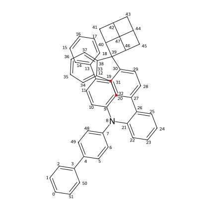 c1ccc(-c2ccc(N(c3ccc(-c4ccccc4)cc3)c3ccccc3-c3ccc4c(c3)-c3ccccc3C43C4CC5CC6CC3C564)cc2)cc1